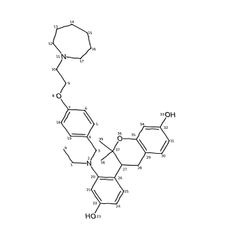 CCN(Cc1ccc(OCCN2CCCCCC2)cc1)c1cc(O)ccc1C1Cc2ccc(O)cc2OC1(C)C